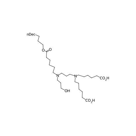 CCCCCCCCCCCCCOC(=O)CCCCCN(CCCO)CCCN(CCCCCC(=O)O)CCCCCC(=O)O